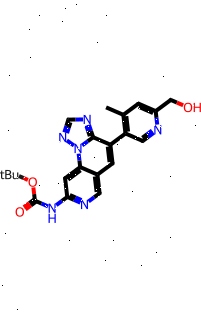 Cc1cc(CO)ncc1-c1cc2cnc(NC(=O)OC(C)(C)C)cc2n2ncnc12